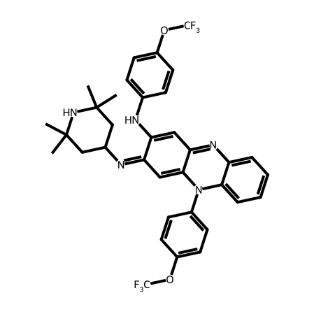 CC1(C)CC(N=c2cc3n(-c4ccc(OC(F)(F)F)cc4)c4ccccc4nc-3cc2Nc2ccc(OC(F)(F)F)cc2)CC(C)(C)N1